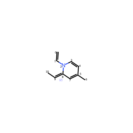 C=CN1C=CC(C)=C/C1=C/C